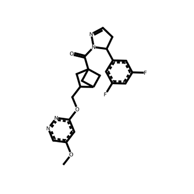 COc1cnnc(OCC2CC3(C(=O)N4N=CCC4c4cc(F)cc(F)c4)CC2C3)c1